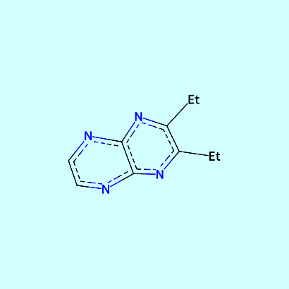 CCc1nc2nccnc2nc1CC